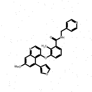 COc1cc(-c2ccoc2)c2c(Oc3cccc(C(=O)NCc4ccncc4)c3C)ccnc2c1